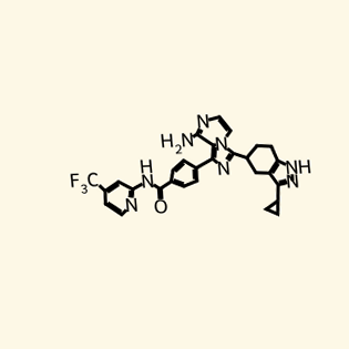 Nc1nccn2c(C3CCc4[nH]nc(C5CC5)c4C3)nc(-c3ccc(C(=O)Nc4cc(C(F)(F)F)ccn4)cc3)c12